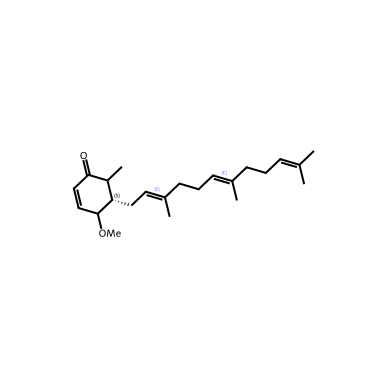 COC1C=CC(=O)C(C)[C@@H]1C/C=C(\C)CC/C=C(\C)CCC=C(C)C